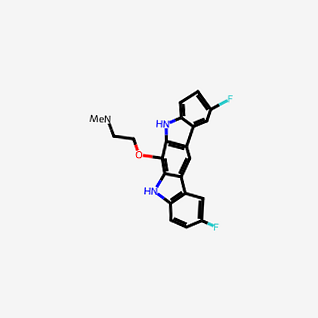 CNCCOc1c2[nH]c3ccc(F)cc3c2cc2c1[nH]c1ccc(F)cc12